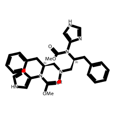 CCN(C[C@H](Cc1ccccc1)N(C(=O)OC)c1c[nH]cn1)C[C@H](Cc1ccccc1)N(C(=O)OC)c1c[nH]cn1